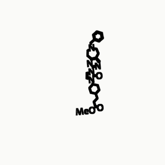 COC(=O)CCC1CCC(n2ccn(-c3ncc4c(n3)CCN(Cc3ccccc3)CC4)c2=O)CC1